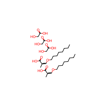 CCCCCCCCOC=C(C)C(=O)O.CCCCCCCCOC=C(C)C(=O)O.O=C(O)CO.O=C(O)CO.O=C(O)CO